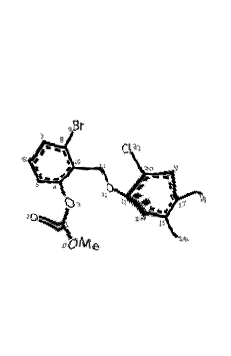 COC(=O)Oc1cccc(Br)c1COc1cc(C)c(C)cc1Cl